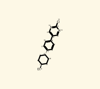 CC[C@H]1CC[C@H](c2ccc(-c3cnc(Cl)nc3)cc2)CC1